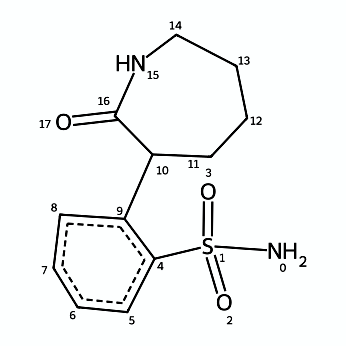 NS(=O)(=O)c1ccccc1C1CCCCNC1=O